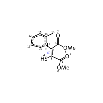 COC(=O)/C(S)=C(\C(=O)OC)[n+]1ccccc1C